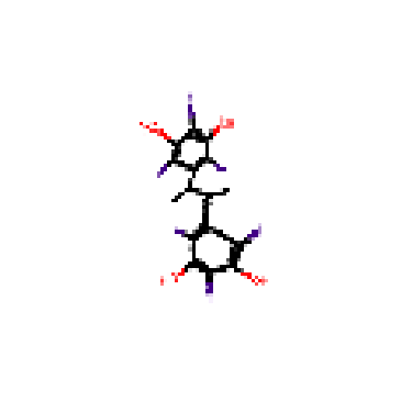 CC(c1c(I)c(O)c(I)c(O)c1I)C(C)c1c(I)c(O)c(I)c(O)c1I